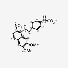 COc1cc2ncc([N+](=O)[O-])c(NCc3ccc(NC(=O)O)cc3)c2cc1OC